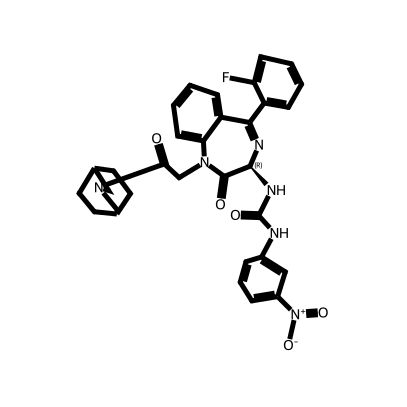 O=C(Nc1cccc([N+](=O)[O-])c1)N[C@@H]1N=C(c2ccccc2F)c2ccccc2N(CC(=O)N2CC3CCC(CC3)C2)C1=O